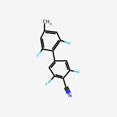 Cc1cc(F)c(-c2cc(F)c(C#N)c(F)c2)c(F)c1